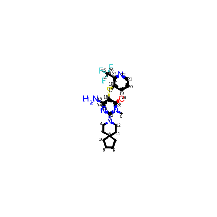 Cn1c(N2CCC3(CCCC3)CC2)nc(N)c(Sc2cccnc2C(F)(F)F)c1=O